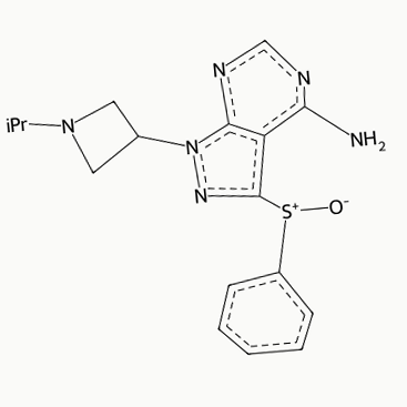 CC(C)N1CC(n2nc([S+]([O-])c3ccccc3)c3c(N)ncnc32)C1